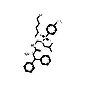 CC(C)CN([C@@H](CCCCCO)NC(=O)[C@@H](N)C(c1ccccc1)c1ccccc1)S(=O)(=O)c1ccc(N)cc1